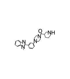 Cn1c(-c2cccc(N3CCN(C(=O)C4CCCNC4)CC3)c2)nc2ccccc21